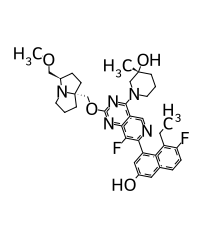 CCc1c(F)ccc2cc(O)cc(-c3ncc4c(N5CCC[C@@](C)(O)C5)nc(OC[C@]56CCCN5[C@@H](COC)CC6)nc4c3F)c12